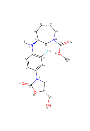 CN(c1ccc(N2C[C@H](CO)OC2=O)cc1F)[C@H]1CCCCN(C(=O)OC(C)(C)C)C1